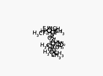 CCC(F)(F)c1cnc2c(c1)N(C(=O)CN1C[C@@H](C)N(C(=O)OC(C)(C)C)C[C@@H]1CN1CCCC1=O)CC2(C)C